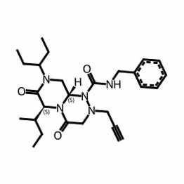 C#CCN1CC(=O)N2[C@@H](C(C)CC)C(=O)N(C(CC)CC)C[C@@H]2N1C(=O)NCc1ccccc1